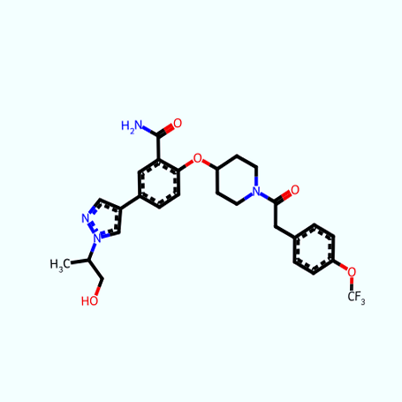 CC(CO)n1cc(-c2ccc(OC3CCN(C(=O)Cc4ccc(OC(F)(F)F)cc4)CC3)c(C(N)=O)c2)cn1